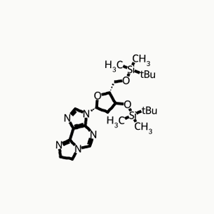 CC(C)(C)[Si](C)(C)OC[C@H]1O[C@@H](n2cnc3c2N=CN2CCN=C32)CC1O[Si](C)(C)C(C)(C)C